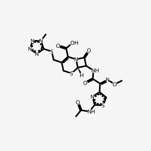 CON=C(C(=O)NC1C(=O)N2C(C(=O)O)=C(CSc3nnnn3C)CS[C@@H]12)c1csc(NC(C)=O)n1